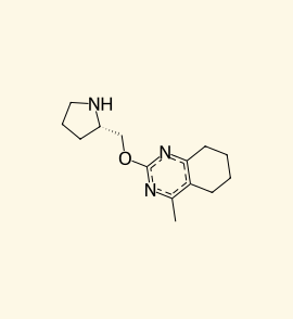 Cc1nc(OC[C@@H]2CCCN2)nc2c1CCCC2